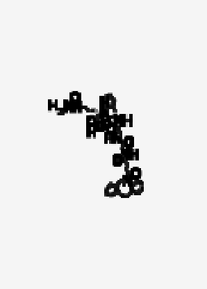 NC(=O)NCCC[C@H](NC(=O)[C@H](Cc1ccccc1)NC(=O)CNC(=O)CNC(=O)CCC(=O)N1Cc2ccccc2C#Cc2ccccc21)C(=O)O